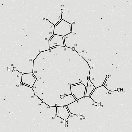 COC(=O)c1c(C)c2c3c(Cl)ccc2n1CCCOc1cc(cc2c(F)c(Cl)ccc12)CCc1cc(nn1C)CSCc1n[nH]c(C)c1-3